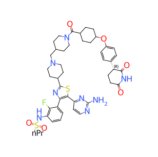 CCCS(=O)(=O)Nc1cccc(-c2nc(C3CCN(CC4CCN(C(=O)C5CCC(Oc6ccc([C@H]7CCC(=O)NC7=O)cc6)CC5)CC4)CC3)sc2-c2ccnc(N)n2)c1F